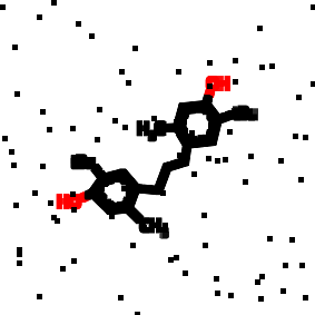 Cc1cc(O)c(C(C)(C)C)cc1CCCc1cc(C(C)(C)C)c(O)cc1C